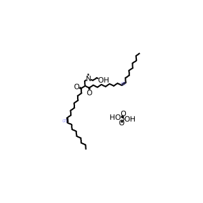 CCCCCCCC/C=C\CCCCCCCC(=O)C(CN(C)CCO)C(=O)CCCCCCC/C=C\CCCCCCCC.O=S(=O)(O)O